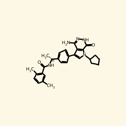 Cc1ccc(C)c(C(=O)N[C@H](C)c2ccc(-c3cn(C4CCCC4)c4c(=O)[nH]nc(N)c34)cc2)c1